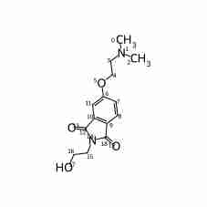 CN(C)CCOc1ccc2c(c1)C(=O)N(CCO)C2=O